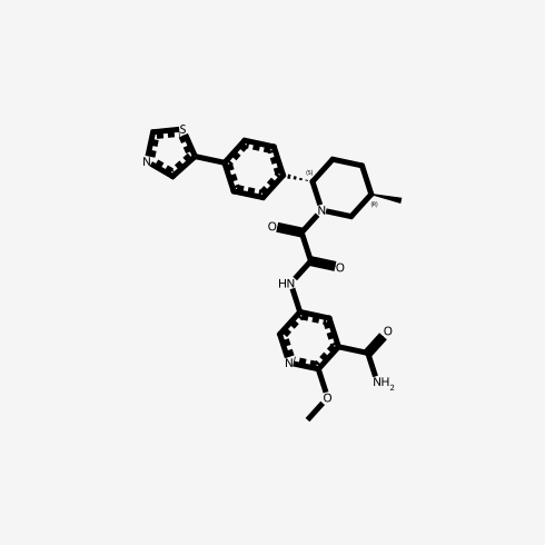 COc1ncc(NC(=O)C(=O)N2C[C@H](C)CC[C@H]2c2ccc(-c3cncs3)cc2)cc1C(N)=O